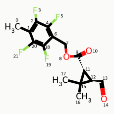 Cc1c(F)c(F)c(COC(=O)[C@@H]2[C@@H](C=O)C2(C)C)c(F)c1F